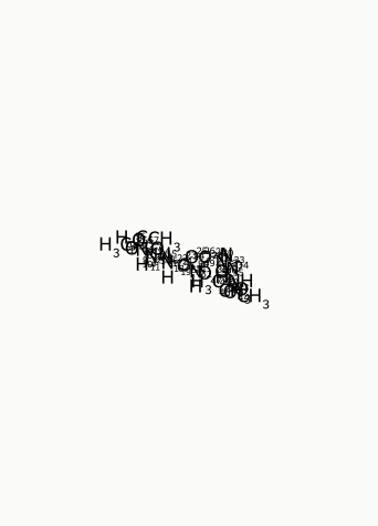 COC(=O)N[C@H](C(=O)N1CCC[C@H]1c1ncc(-c2ccc3c(c2)Oc2ccc(-c4cnc([C@@H]5CCCN5C(=O)[C@@H](NC(=O)OC)C(C)C)[nH]4)cc2C(=O)N3)[nH]1)C(C)C